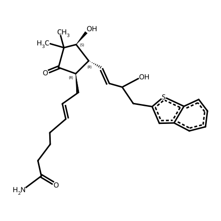 CC1(C)C(=O)[C@H](CC=CCCCC(N)=O)[C@@H](C=CC(O)Cc2cc3ccccc3s2)[C@@H]1O